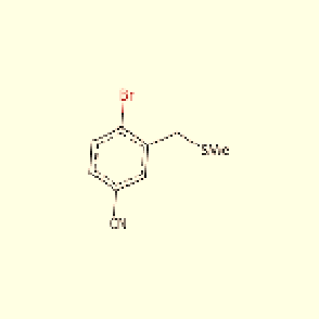 CSCc1cc(C#N)ccc1Br